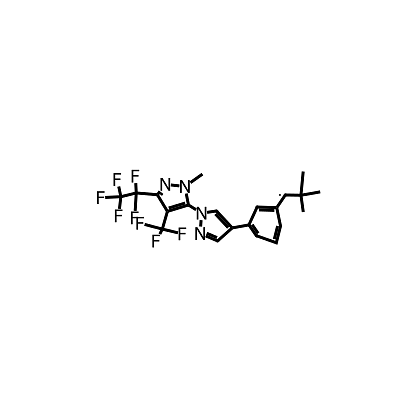 Cn1nc(C(F)(F)C(F)(F)F)c(C(F)(F)F)c1-n1cc(-c2cccc([CH]C(C)(C)C)c2)cn1